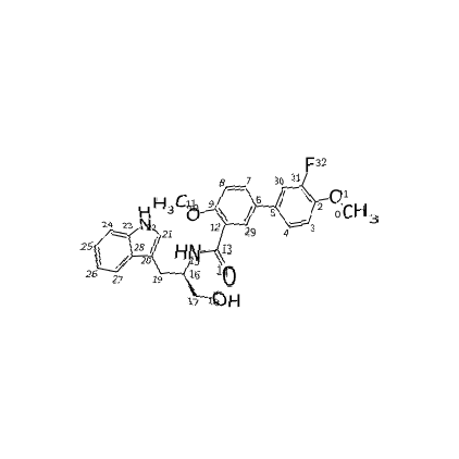 COc1ccc(-c2ccc(OC)c(C(=O)N[C@@H](CO)Cc3c[nH]c4ccccc34)c2)cc1F